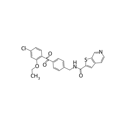 CCOc1cc(Cl)ccc1S(=O)(=O)c1ccc(CNC(=O)c2cc3ccncc3s2)cc1